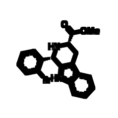 COC(=O)[C@@H]1Cc2c([nH]c3ccccc23)[C@H](c2ccccc2Br)N1